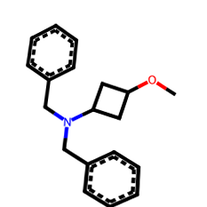 COC1CC(N(Cc2ccccc2)Cc2ccccc2)C1